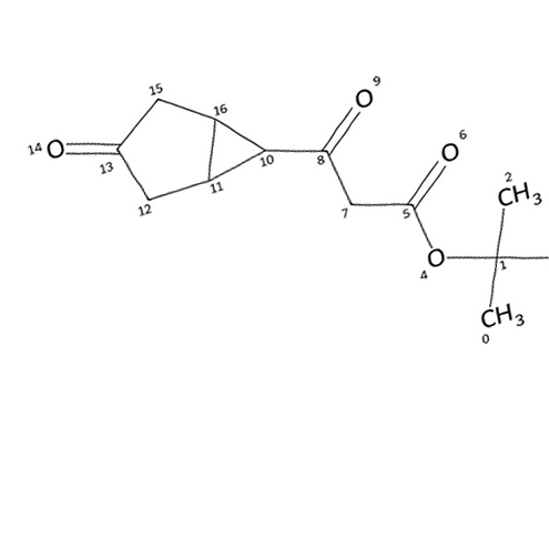 CC(C)(C)OC(=O)CC(=O)C1C2CC(=O)CC21